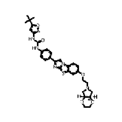 CC(C)(C)c1cc(NC(=O)Nc2ccc(-c3cn4c(n3)sc3cc(OCCN5C[C@H]6OCCO[C@@H]6C5)ccc34)cc2)no1